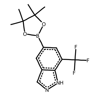 CC1(C)OB(c2cc(C(F)(F)F)c3[nH]ncc3c2)OC1(C)C